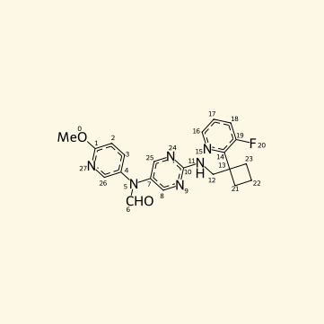 COc1ccc(N(C=O)c2cnc(NCC3(c4ncccc4F)CCC3)nc2)cn1